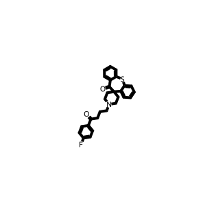 O=C(CCCN1CCC2(CC1)C(=O)c1ccccc1Sc1ccccc12)c1ccc(F)cc1